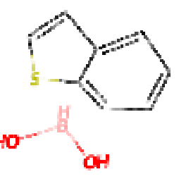 OBO.c1ccc2sccc2c1